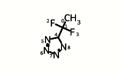 CC(F)(F)C1N=NN=N1